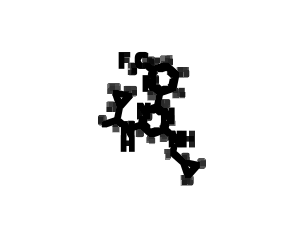 CC(Nc1cc(NCC2CC2)nc(-c2cccc(C(F)(F)F)n2)n1)C1CC1